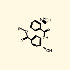 C#N.CC(C)OC(=S)c1ccccc1.CO.CO.OC(=S)c1ccccc1